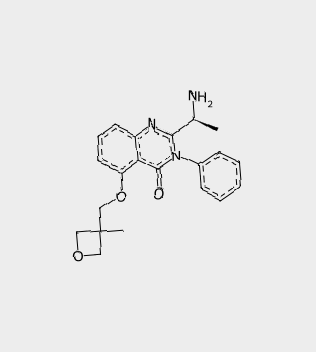 C[C@H](N)c1nc2cccc(OCC3(C)COC3)c2c(=O)n1-c1ccccc1